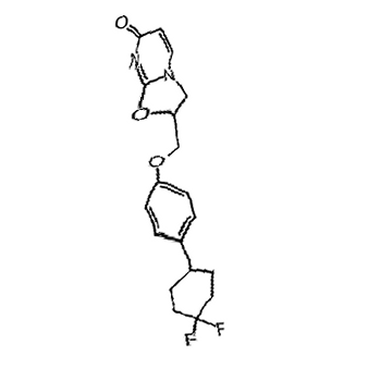 O=c1ccn2c(n1)OC(COc1ccc(C3CCC(F)(F)CC3)cc1)C2